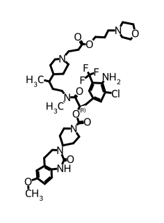 COc1ccc2c(c1)CCN(C1CCN(C(=O)O[C@H](Cc3cc(Cl)c(N)c(C(F)(F)F)c3)C(=O)N(C)CCC(C)C3CCN(CCC(=O)OCCCN4CCOCC4)CC3)CC1)C(=O)N2